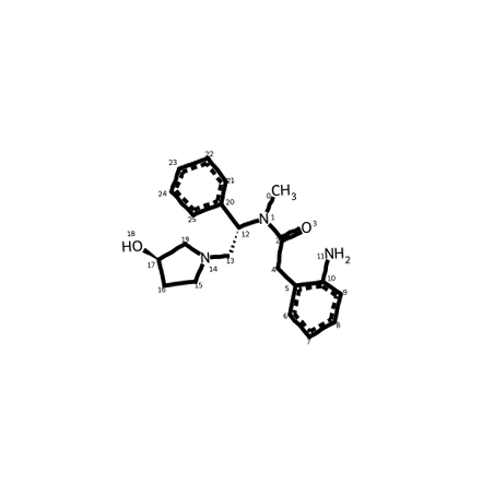 CN(C(=O)Cc1ccccc1N)[C@H](CN1CC[C@@H](O)C1)c1ccccc1